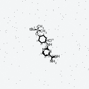 CC(C)(C)[Si](C)(C)O[C@H]1CC[C@@H](Nc2nccc(C(=N)N)n2)CC1.Cl